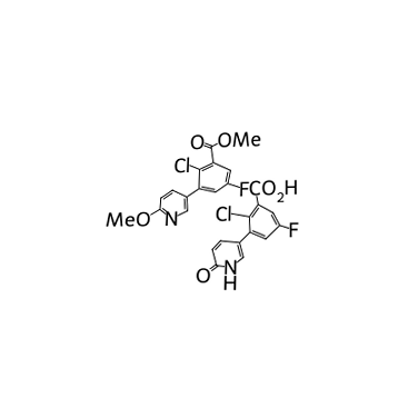 COC(=O)c1cc(F)cc(-c2ccc(OC)nc2)c1Cl.O=C(O)c1cc(F)cc(-c2ccc(=O)[nH]c2)c1Cl